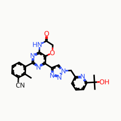 Cc1c(C#N)cccc1-c1nc2c(c(-c3cn(Cc4cccc(C(C)(C)O)n4)nn3)n1)OCC(=O)N2